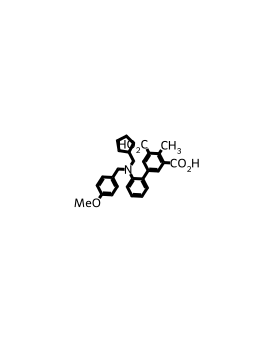 COc1ccc(CN(CC2CCCC2)c2ccccc2-c2cc(C(=O)O)c(C)c(C(=O)O)c2)cc1